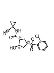 N#CC1(NC(=O)[C@@H]2C[C@@H](S(=O)(=O)c3ccccc3Cl)C[C@H]2O)CC1